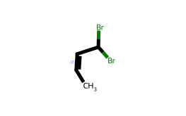 C/C=C\C(Br)Br